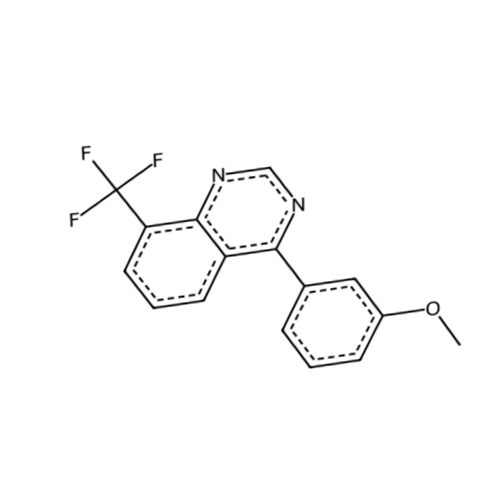 COc1cccc(-c2ncnc3c(C(F)(F)F)cccc23)c1